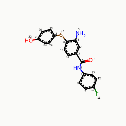 Nc1cc(C(=O)Nc2ccc(F)cc2)ccc1Sc1ccc(O)cc1